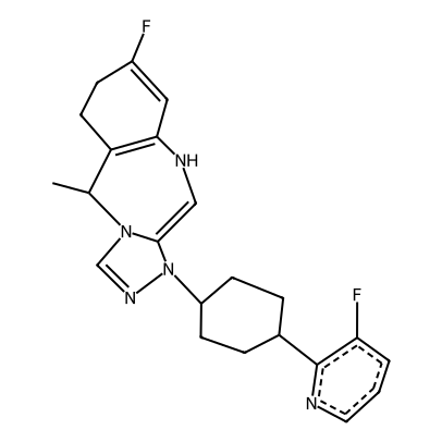 CC1C2=C(C=C(F)CC2)NC=C2N1C=NN2C1CCC(c2ncccc2F)CC1